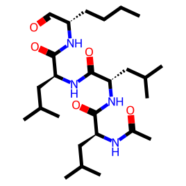 CCCC[C@@H](C=O)NC(=O)[C@H](CC(C)C)NC(=O)[C@H](CC(C)C)NC(=O)[C@H](CC(C)C)NC(C)=O